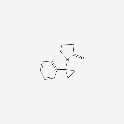 O=C1CCCN1C1(c2ccccc2)CC1